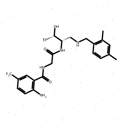 CC[C@H](O)[C@H](CNCc1ccc(C)cc1C)NC(=O)CNC(=O)c1cc(C(F)(F)F)ccc1N